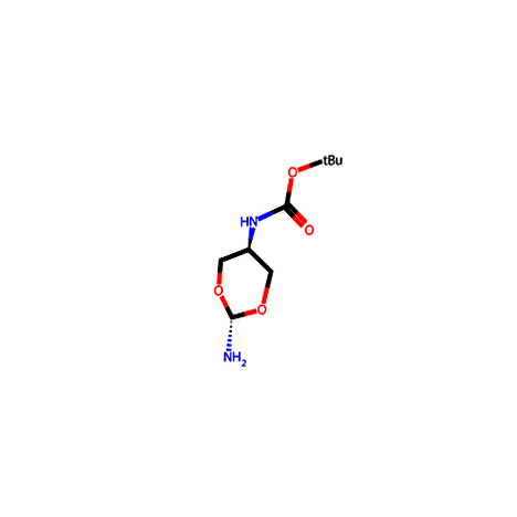 CC(C)(C)OC(=O)N[C@H]1CO[C@H](N)OC1